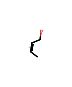 C/C=C\CBr